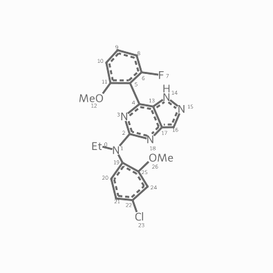 CCN(c1nc(-c2c(F)cccc2OC)c2[nH]ncc2n1)c1ccc(Cl)cc1OC